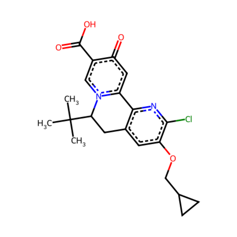 CC(C)(C)C1Cc2cc(OCC3CC3)c(Cl)nc2-c2cc(=O)c(C(=O)O)cn21